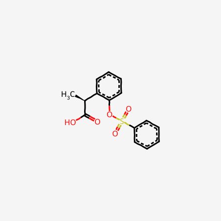 C[C@H](C(=O)O)c1ccccc1OS(=O)(=O)c1ccccc1